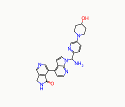 NC(c1ccc(N2CCC(O)CC2)cn1)n1ccc2c(-c3cncc4c3C(=O)NC4)ccnc21